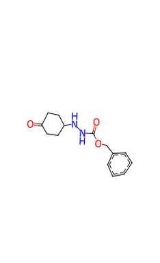 O=C1CCC(NNC(=O)OCc2ccccc2)CC1